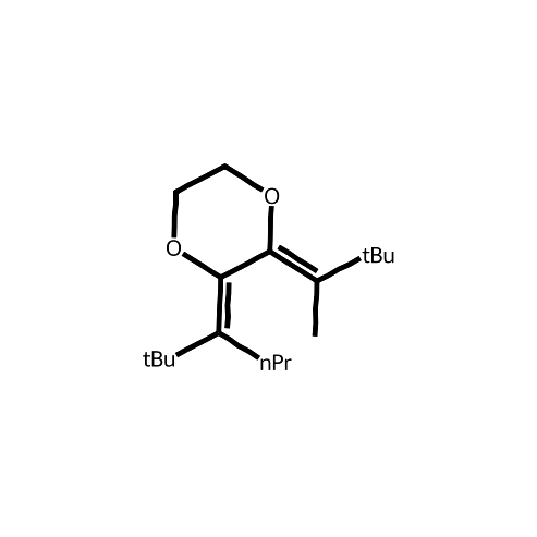 CCC/C(=C1/OCCO/C1=C(/C)C(C)(C)C)C(C)(C)C